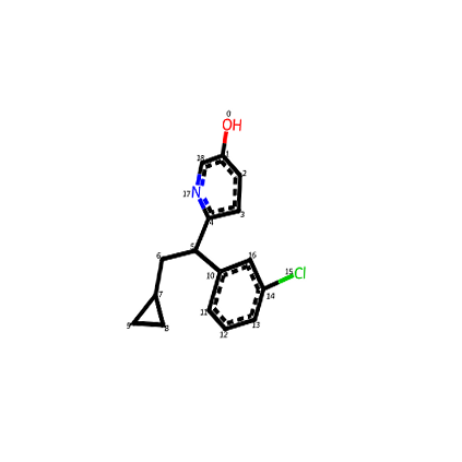 Oc1ccc(C(CC2CC2)c2cccc(Cl)c2)nc1